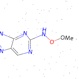 COONc1ncc2nc[nH]c2n1